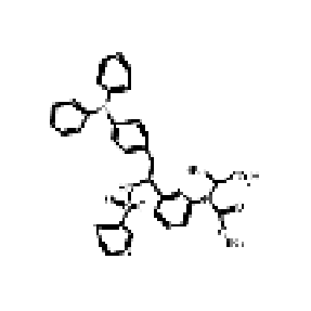 CC(C)(C)OC(=O)N(c1cccc(C(Cc2ccc(N(c3ccccc3)c3ccccc3)cc2)NS(=O)(=O)c2cccnc2)n1)C(C(=O)O)C(C)(C)C